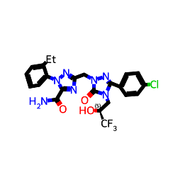 CCc1ccccc1-n1nc(Cn2nc(-c3ccc(Cl)cc3)n(C[C@H](O)C(F)(F)F)c2=O)nc1C(N)=O